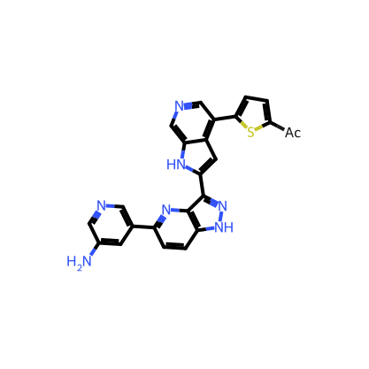 CC(=O)c1ccc(-c2cncc3[nH]c(-c4n[nH]c5ccc(-c6cncc(N)c6)nc45)cc23)s1